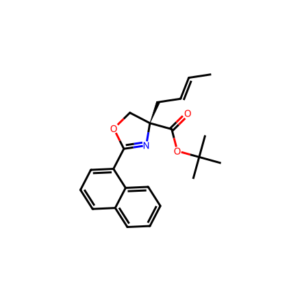 C/C=C/C[C@]1(C(=O)OC(C)(C)C)COC(c2cccc3ccccc23)=N1